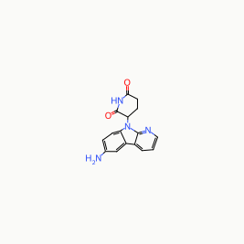 Nc1ccc2c(c1)c1cccnc1n2C1CCC(=O)NC1=O